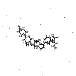 Cc1nc2ccc(-c3ccn4nc(N[C@H]5CC[C@H](N6CCN(C)CC6)CC5)ncc34)nc2n1CCF